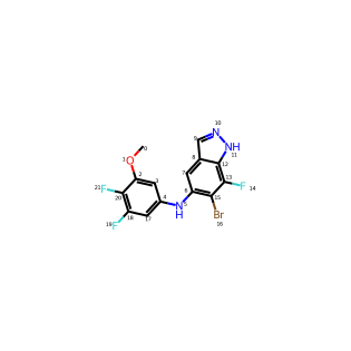 COc1cc(Nc2cc3cn[nH]c3c(F)c2Br)cc(F)c1F